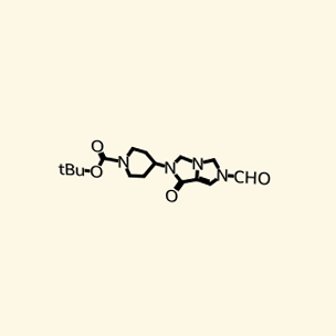 CC(C)(C)OC(=O)N1CCC(N2CN3CN(C=O)C=C3C2=O)CC1